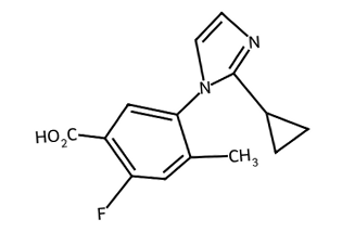 Cc1cc(F)c(C(=O)O)cc1-n1ccnc1C1CC1